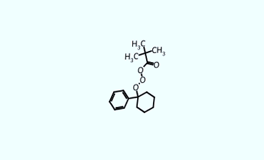 CC(C)(C)C(=O)OOOC1(c2ccccc2)CCCCC1